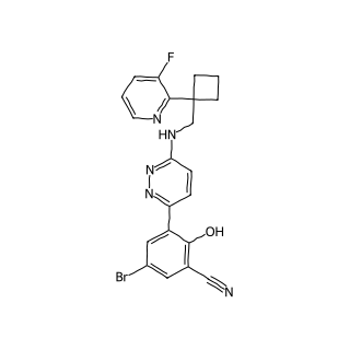 N#Cc1cc(Br)cc(-c2ccc(NCC3(c4ncccc4F)CCC3)nn2)c1O